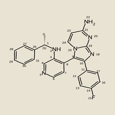 C[C@H](Nc1cnccc1-c1c(-c2ccc(F)cc2)nc2nc(N)ccn12)c1ccccc1